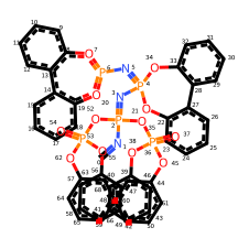 C=NP(=NP1(=Np2oc3ccccc3c3ccccc3o2)Oc2ccccc2-c2ccccc2O1)(OP(=O)(Oc1ccccc1)Oc1ccccc1)OP(=O)(Oc1ccccc1)Oc1ccccc1